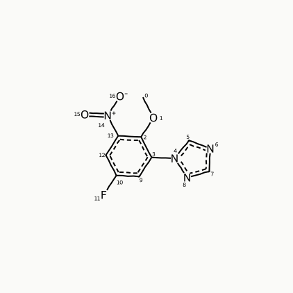 COc1c(-n2cncn2)cc(F)cc1[N+](=O)[O-]